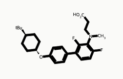 CN(CCC(=O)O)c1c(F)ccc(-c2ccc(O[C@H]3CC[C@H](C(C)(C)C)CC3)cc2)c1F